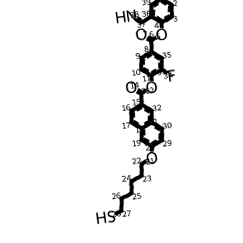 Cc1ccc(OC(=O)c2ccc(OC(=O)c3ccc4cc(OCCCCCCS)ccc4c3)c(F)c2)c(C=N)c1